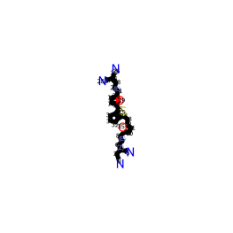 N#CC/C(C#N)=C/C=C/c1ccc(Cc2sc(-c3ccc(/C=C/C=C(C#N)C#N)o3)c3c2CCC3)o1